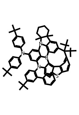 CC(C)(C)c1ccc(N(c2ccc(C(C)(C)C)cc2)c2cc3c4c(c2)N2c5c6cc(cc5C5(C)CCCCC25C)C(C(C)(C)C)(C(C)(C)C)c2ccc5sc7ccc(c(c7c5c2)B64)N3c2ccc(C(C)(C)C)cc2-c2ccccc2)cc1